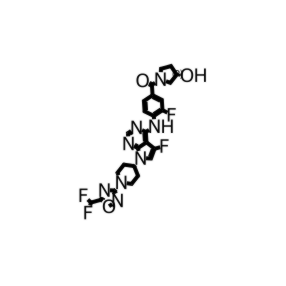 O=C(c1ccc(Nc2ncnc3c2c(F)cn3C2CCN(c3noc(C(F)F)n3)CC2)c(F)c1)N1CC[C@@H](O)C1